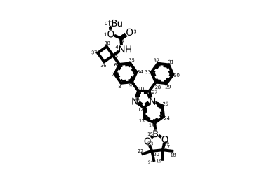 CC(C)(C)OC(=O)NC1(c2ccc(-c3nc4cc(B5OC(C)(C)C(C)(C)O5)ccn4c3-c3ccccc3)cc2)CCC1